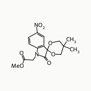 COC(=O)CN1C(=O)C2(OCC(C)(C)CO2)c2cc([N+](=O)[O-])ccc21